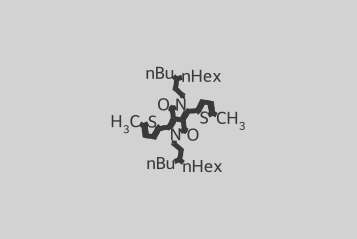 CCCCCCC(CCCC)CCN1C(=O)C2=C(c3ccc(C)s3)N(CCC(CCCC)CCCCCC)C(=O)C2=C1c1ccc(C)s1